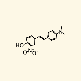 CN(C)c1ccc(C=Cc2ccc(O)c([N+](=O)[O-])c2)cc1